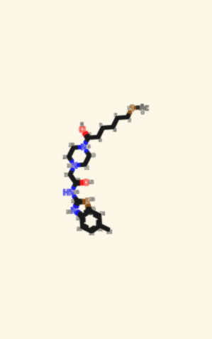 CC(=O)SCCCCCC(=O)N1CCN(CC(=O)Nc2nc3ccc(C)cc3s2)CC1